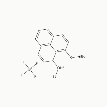 CCCCSc1ccc2cccc3c2c1C([OH+]CC)C=C3.F[B-](F)(F)F